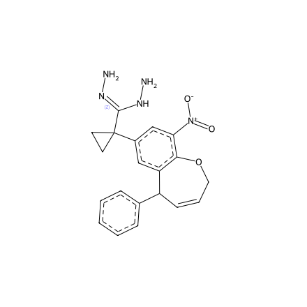 N/N=C(\NN)C1(c2cc3c(c([N+](=O)[O-])c2)OCC=CC3c2ccccc2)CC1